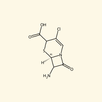 NC1C(=O)N2C=C(Cl)C(C(=O)O)S[C@H]12